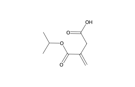 C=C(CC(=O)O)C(=O)OC(C)C